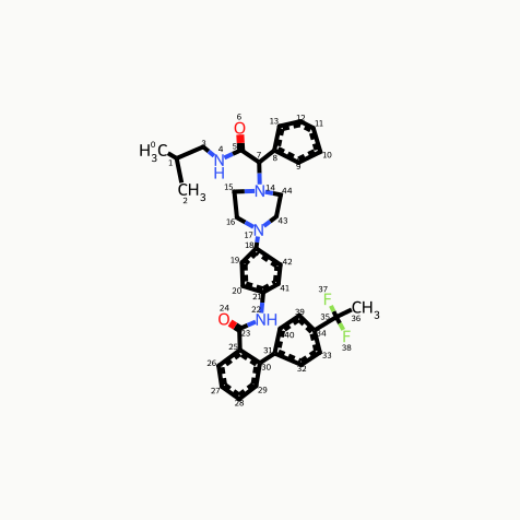 CC(C)CNC(=O)C(c1ccccc1)N1CCN(c2ccc(NC(=O)c3ccccc3-c3ccc(C(C)(F)F)cc3)cc2)CC1